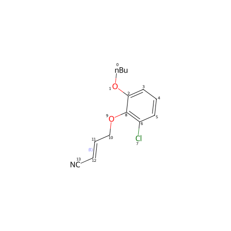 CCCCOc1cccc(Cl)c1OC/C=C/C#N